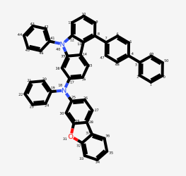 c1ccc(-c2ccc(-c3cccc4c3c3ccc(N(c5ccccc5)c5ccc6c(c5)oc5ccccc56)cc3n4-c3ccccc3)cc2)cc1